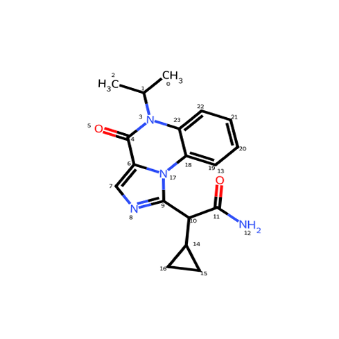 CC(C)n1c(=O)c2cnc(C(C(N)=O)C3CC3)n2c2ccccc21